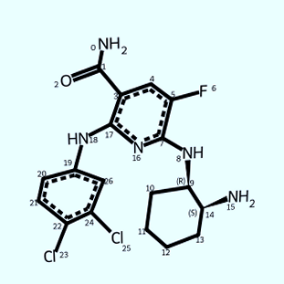 NC(=O)c1cc(F)c(N[C@@H]2CCCC[C@@H]2N)nc1Nc1ccc(Cl)c(Cl)c1